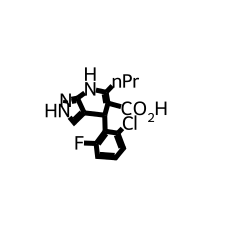 CCCC1=C(C(=O)O)C(c2c(F)cccc2Cl)c2c[nH]nc2N1